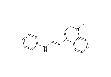 CN1CC=C(C=CNc2ccccc2)c2ccccc21